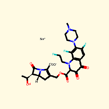 CC(O)[C@H]1C(=O)N2C(C(=O)[O-])=C(COC(=O)C3C(=O)C(=O)c4cc(F)c(N5CCN(C)CC5)c(F)c4N3CCF)C[C@H]12.[Na+]